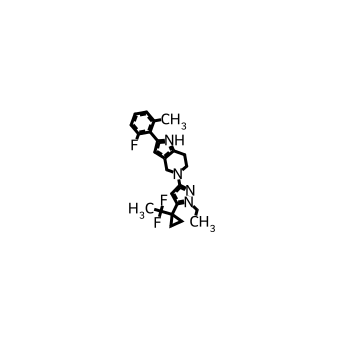 CCn1nc(N2CCc3[nH]c(-c4c(C)cccc4F)cc3C2)cc1C1(C(C)(F)F)CC1